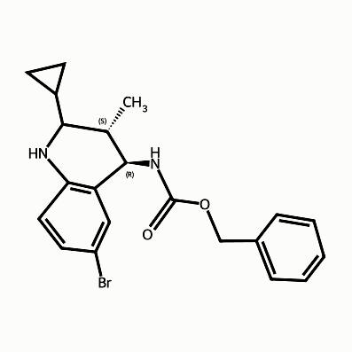 C[C@H]1C(C2CC2)Nc2ccc(Br)cc2[C@@H]1NC(=O)OCc1ccccc1